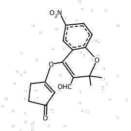 CC1(C)Oc2ccc([N+](=O)[O-])cc2C(OC2=CC(=O)CC2)=C1C=O